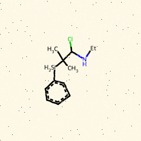 CCNC(Cl)C(C)(C)[SiH2]c1ccccc1